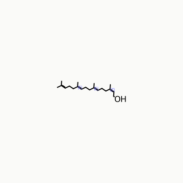 CC(C)=CCC/C(C)=C/CC/C(C)=C/CC/C(C)=C\CO